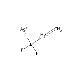 C=C.F[B-](F)(F)F.[Ag+]